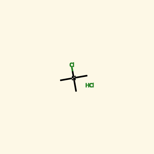 C[Si](C)(C)Cl.Cl